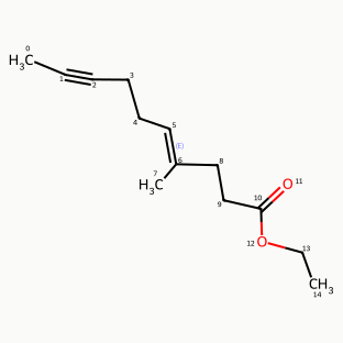 CC#CCC/C=C(\C)CCC(=O)OCC